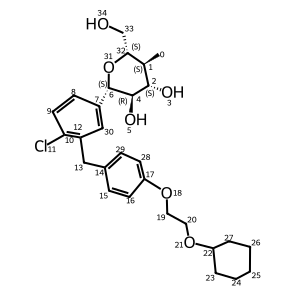 C[C@H]1[C@H](O)[C@@H](O)[C@H](c2ccc(Cl)c(Cc3ccc(OCCOC4CCCCC4)cc3)c2)O[C@@H]1CO